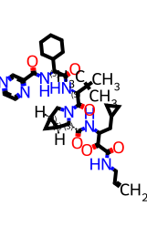 C=CCNC(=O)C(=O)C(CC1CC1)NC(=O)[C@@H]1[C@H]2C[C@H]2CN1C(=O)[C@@H](NC(=O)[C@@H](NC(=O)c1cnccn1)C1CCCCC1)C(C)(C)C